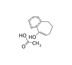 CC(=O)O.OC1=CCCCc2ccccc21